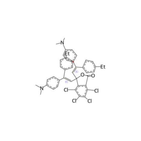 CCc1ccc(/C(=C\C2(/C=C(\c3ccc(CC)cc3)c3ccc(N(C)C)cc3)OC(=O)c3c(Cl)c(Cl)c(Cl)c(Cl)c32)c2ccc(N(C)C)cc2)cc1